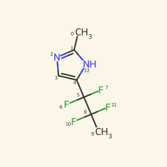 Cc1ncc(C(F)(F)C(C)(F)F)[nH]1